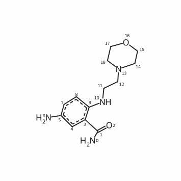 NC(=O)c1cc(N)ccc1NCCN1CCOCC1